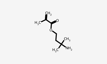 C=C(C)C(=O)OCCC(C)(C)N